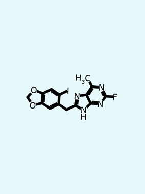 Cc1nc(F)nc2[nH]c(Cc3cc4c(cc3I)OCO4)nc12